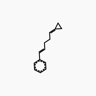 C(=Cc1ccccc1)CCC=C1CC1